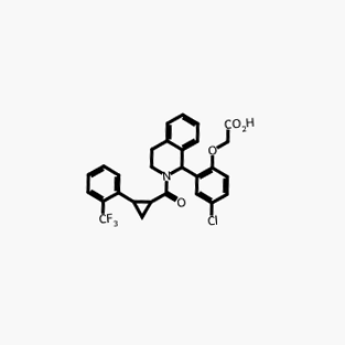 O=C(O)COc1ccc(Cl)cc1C1c2ccccc2CCN1C(=O)C1CC1c1ccccc1C(F)(F)F